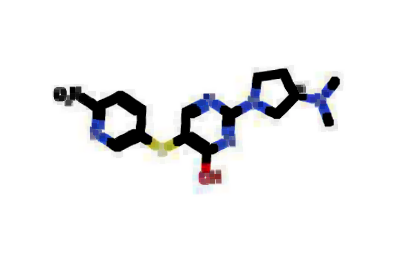 CN(C)[C@@H]1CCN(c2ncc(Sc3ccc([N+](=O)[O-])nc3)c(O)n2)C1